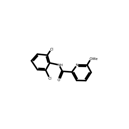 COc1cccc(C(=O)Nc2c(Cl)cccc2Cl)n1